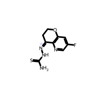 NC(=S)N/N=C1/CCOc2cc(F)cnc21